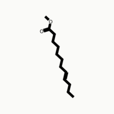 CCC/C=C/CCCCCCC(=O)OC